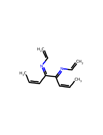 C=CN=C(/C=C\C)C(/C=C\C)=N/C=C